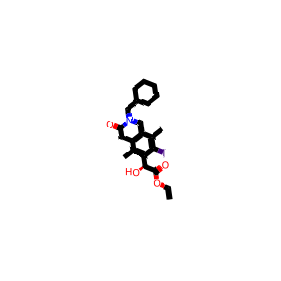 CCOC(=O)[C@@H](O)c1c(C)c2c(c(C)c1I)CN(CC1CCCCC1)C(=O)C2